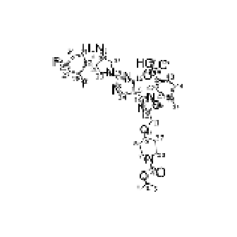 CC(C)OC(=O)N1CCC(OCc2nc(-c3cnc(N4C[C@H](c5ccc(F)cc5F)[C@@H](N)C4)nc3)no2)CC1.Cc1ccc(S(=O)(=O)O)cc1